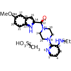 CCNc1cccnc1N1CCN(C(=O)c2cc3cc(OC)ccc3[nH]2)CC1.CS(=O)(=O)O